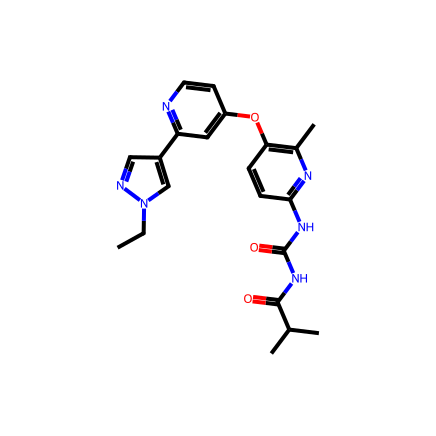 CCn1cc(-c2cc(Oc3ccc(NC(=O)NC(=O)C(C)C)nc3C)ccn2)cn1